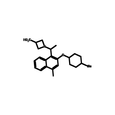 Cc1cc(OC2CCC(C(C)(C)C)CC2)c(C(C)N2CC(C(=O)O)C2)c2ccccc12